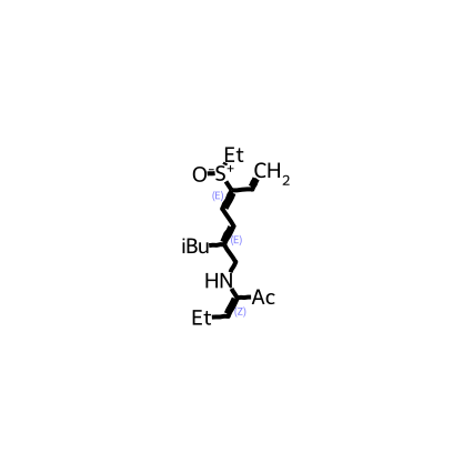 C=C/C(=C\C=C(\CN/C(=C\CC)C(C)=O)C(C)CC)[S+]([O-])CC